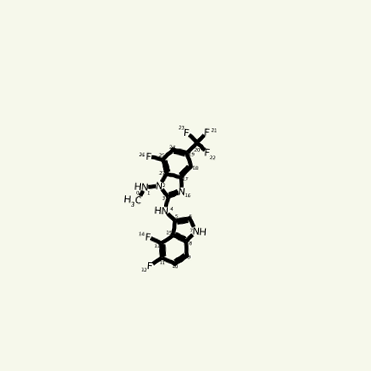 CNn1c(Nc2c[nH]c3ccc(F)c(F)c23)nc2cc(C(F)(F)F)cc(F)c21